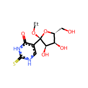 CCO[C@@]1(c2c[nH]c(=S)[nH]c2=O)O[C@H](CO)[C@@H](O)[C@H]1O